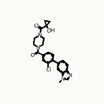 Cn1cnc2ccc(-c3ccc(C(=O)N4CCN(C(=O)C5(O)CC5)CC4)cc3Cl)cc21